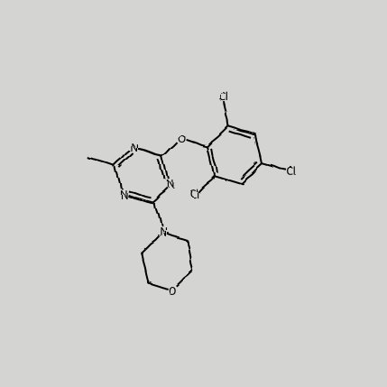 Cc1nc(Oc2c(Cl)cc(Cl)cc2Cl)nc(N2CCOCC2)n1